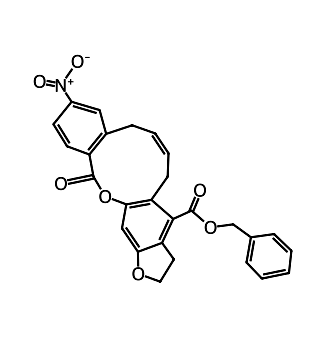 O=C1Oc2cc3c(c(C(=O)OCc4ccccc4)c2CC=CCc2cc([N+](=O)[O-])ccc21)CCO3